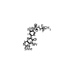 CSc1ncc2nc(-c3ccc(NS(=O)(=O)CCC(C)(F)F)c(F)c3)c(=O)n(C(C)C)c2n1